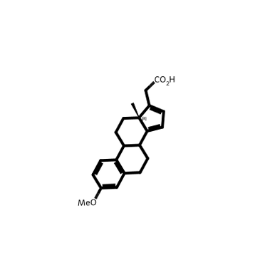 COc1ccc2c(c1)CCC1C3=CC=C(CC(=O)O)[C@@]3(C)CCC21